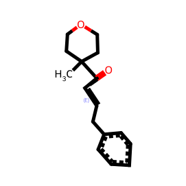 CC1(C(=O)/C=C/Cc2ccccc2)CCOCC1